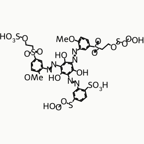 COc1ccc(S(=O)(=O)CCOSOOO)cc1/N=N/c1c(O)c(/N=N/c2cc(S(=O)(=O)CCOS(=O)(=O)O)ccc2OC)c(O)c(/N=N/c2cc(SOOO)ccc2S(=O)(=O)O)c1O